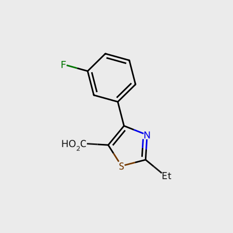 CCc1nc(-c2cccc(F)c2)c(C(=O)O)s1